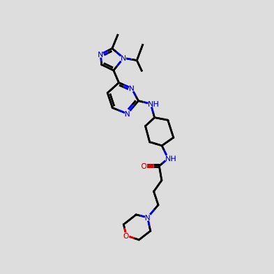 Cc1ncc(-c2ccnc(NC3CCC(NC(=O)CCCN4CCOCC4)CC3)n2)n1C(C)C